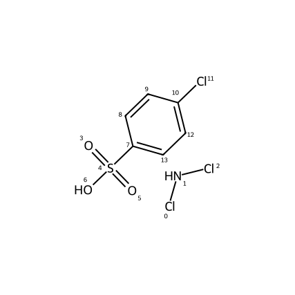 ClNCl.O=S(=O)(O)c1ccc(Cl)cc1